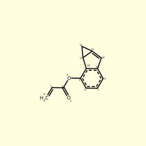 C=CC(=O)Oc1cccc2c1C1CC1=C2